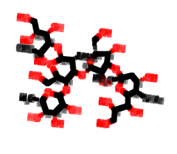 CC(=O)N[C@@H]1C(O[C@@H]2O[C@H](CO)[C@H](O)C(O[C@]3(C(=O)O)C[C@H](O)[C@@H](NC(C)=O)C(C(O)[C@H](O)CO)O3)[C@H]2O)[C@H](OC2O[C@@H](C)[C@@H](O)[C@@H](O)[C@@H]2O)[C@@H](CO)O[C@H]1O[C@@H]([C@@H](O)[C@H](O)CO)[C@@H](O)C=O